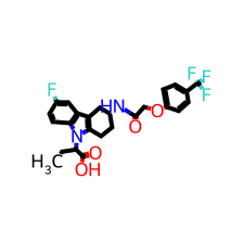 CCC(C(=O)O)n1c2c(c3cc(F)ccc31)CC(NC(=O)COc1ccc(C(F)(F)F)cc1)CC2